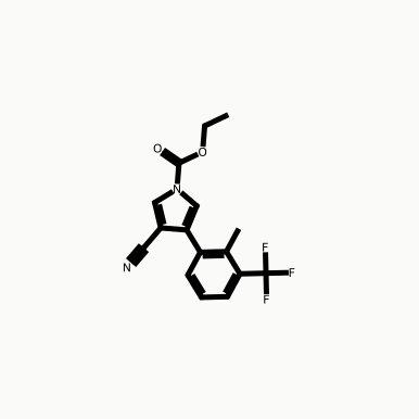 CCOC(=O)n1cc(C#N)c(-c2cccc(C(F)(F)F)c2C)c1